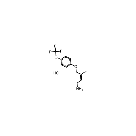 Cl.NC/C=C(/F)COc1ccc(OC(F)(F)F)cc1